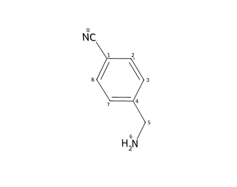 N#Cc1[c]cc(CN)cc1